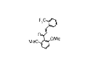 COc1cccc(OC)c1C(=O)C=Cc1ccccc1C(F)(F)F